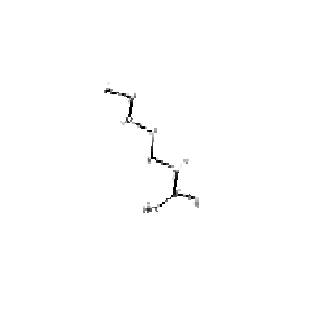 CCOCCO[C](C)O